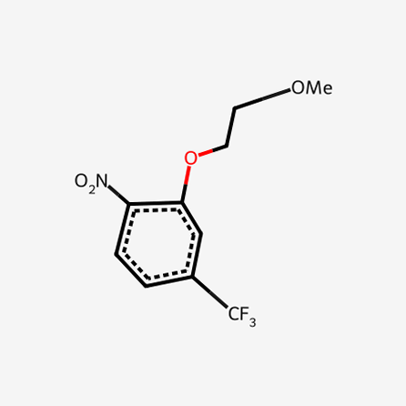 COCCOc1cc(C(F)(F)F)ccc1[N+](=O)[O-]